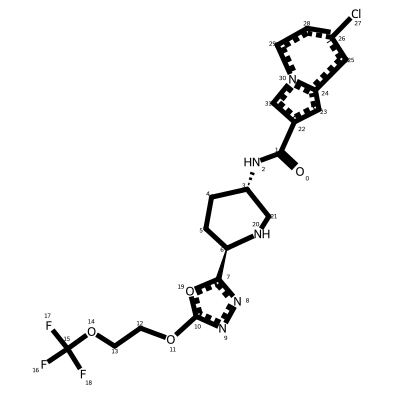 O=C(N[C@H]1CC[C@H](c2nnc(OCCOC(F)(F)F)o2)NC1)c1cc2cc(Cl)ccn2c1